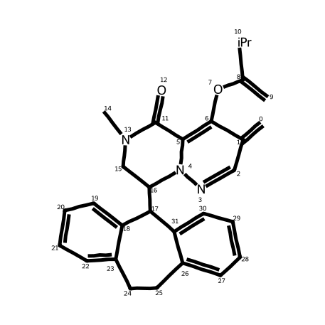 C=C1C=NN2C(=C1OC(=C)C(C)C)C(=O)N(C)CC2C1c2ccccc2CCc2ccccc21